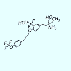 CCC(N)(CO)CCc1ccc(OCCCc2ccc(OC(F)(F)F)cc2)c(C(F)(F)F)c1.Cl